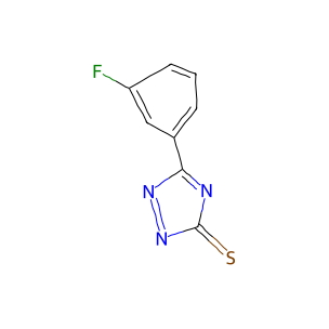 Fc1cccc(C2=NC(=S)N=N2)c1